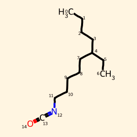 CCCCC(CC)CCCCCN=C=O